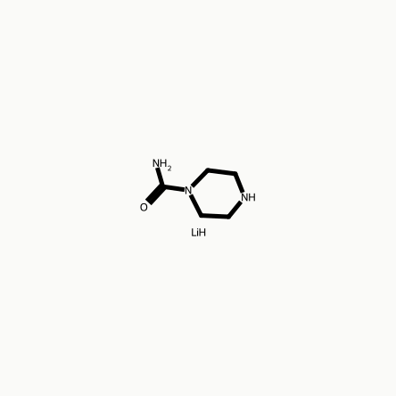 NC(=O)N1CCNCC1.[LiH]